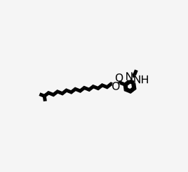 Cc1nc2c(C(=O)OCCCCCCCCCCCCCCCC(C)C)cccc2[nH]1